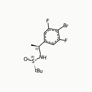 C[C@H](N[S@@+]([O-])C(C)(C)C)c1cc(F)c(Br)c(F)c1